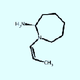 C/C=C\N1CCCCC[C@@H]1N